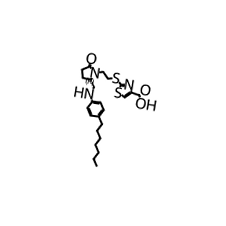 CCCCCCCc1ccc(NC[C@H]2CCC(=O)N2CCSc2nc(C(=O)O)cs2)cc1